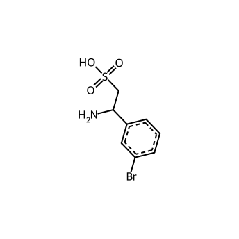 NC(CS(=O)(=O)O)c1cccc(Br)c1